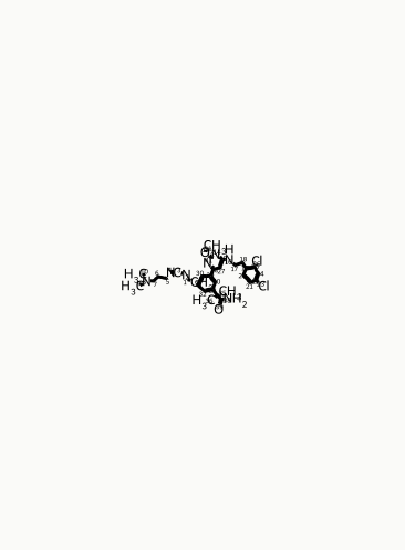 CCN=C=NCCCN(C)C.COc1nc(NCCc2ccc(Cl)cc2Cl)cc(-c2cccc(C(C)(C)C(N)=O)c2)n1